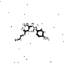 Cc1ccc(S(=O)(=O)NC(C)CC(=O)OCCBr)cc1